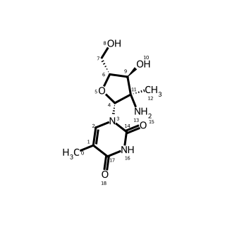 Cc1cn([C@@H]2O[C@H](CO)[C@@H](O)[C@@]2(C)N)c(=O)[nH]c1=O